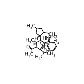 CNc1ccccc1C(=O)C12C(C(C)=O)[C@@H](C)C3[C@@H]4CC(C)CC4CC(C)=C[C@H]3[C@H]1C2(C)C